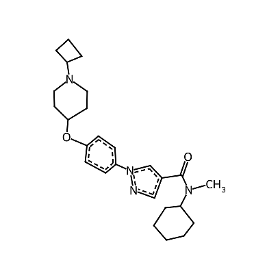 CN(C(=O)c1cnn(-c2ccc(OC3CCN(C4CCC4)CC3)cc2)c1)C1CCCCC1